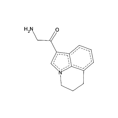 NCC(=O)c1cn2c3c(cccc13)CCC2